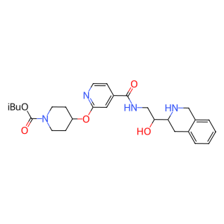 CC(C)COC(=O)N1CCC(Oc2cc(C(=O)NCC(O)C3Cc4ccccc4CN3)ccn2)CC1